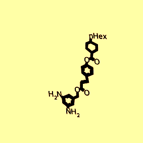 CCCCCCC1CCC(C(=O)Oc2ccc(/C=C/C(=O)OCc3cc(N)cc(N)c3)cc2)CC1